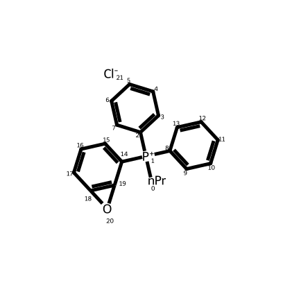 CCC[P+](c1ccccc1)(c1ccccc1)c1cccc2c1O2.[Cl-]